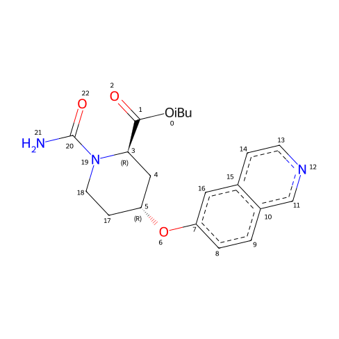 CC(C)COC(=O)[C@H]1C[C@H](Oc2ccc3cnccc3c2)CCN1C(N)=O